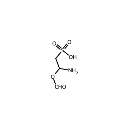 NC(CS(=O)(=O)O)OC=O